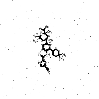 CC1(C)CC=C(c2nc([C@]3(O)CC(C)(C)O[C@](C)(C(=O)O)C3)ccc2NC(=O)c2nc(C#N)c[nH]2)CC1